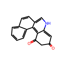 O=C1C=C2NC=c3ccc4ccccc4c3=C2C(=O)C1